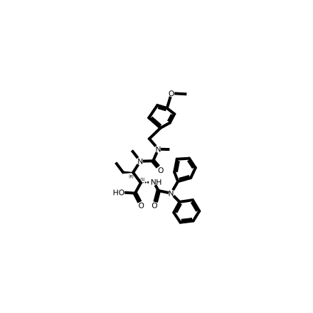 CC[C@H]([C@H](NC(=O)N(c1ccccc1)c1ccccc1)C(=O)O)N(C)C(=O)N(C)Cc1ccc(OC)cc1